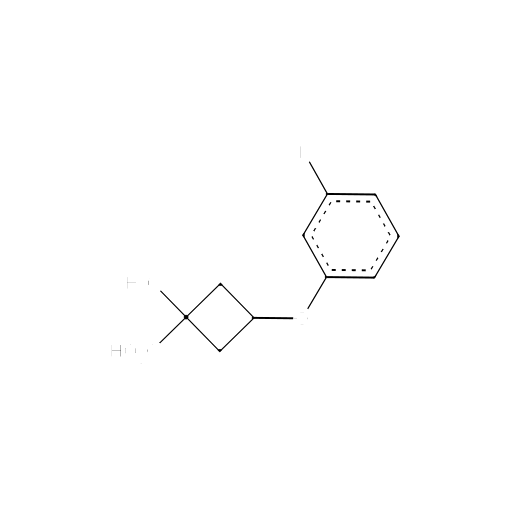 CC1(C(=O)O)CC(Oc2cccc(F)c2)C1